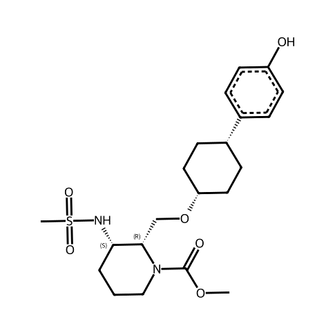 COC(=O)N1CCC[C@H](NS(C)(=O)=O)[C@@H]1CO[C@H]1CC[C@@H](c2ccc(O)cc2)CC1